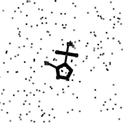 CCc1oncc1S(C)(=O)=O